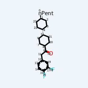 CCCCC[C@H]1CC[C@H](C2CCC(C(=O)Cc3ccc(F)c(F)c3)CC2)CC1